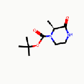 C[C@H]1C(=O)NCCN1C(=O)OC(C)(C)C